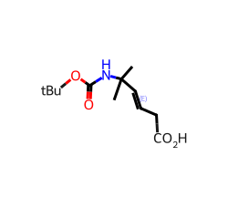 CC(C)(/C=C/CC(=O)O)NC(=O)OC(C)(C)C